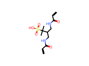 C=CC(=O)NCC(CNC(=O)C=C)C(C)(C)S(=O)(=O)O